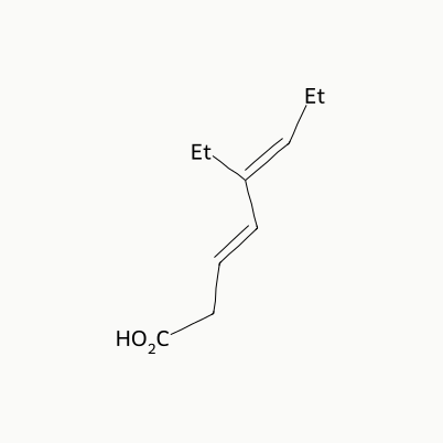 CC/C=C(/C=C/CC(=O)O)CC